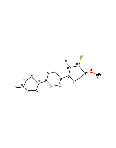 CCCOC1CCC(C2CCC(C3CCC(C)CC3)CC2)C(F)C1F